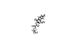 CC(C)c1nn(CC(=O)NCCC(C)(C)O)c(=O)c2cc3sc(F)cc3n12